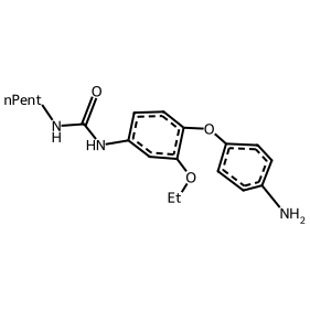 CCCCCNC(=O)Nc1ccc(Oc2ccc(N)cc2)c(OCC)c1